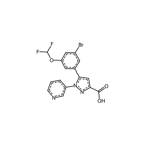 O=C(O)c1cc(-c2cc(Br)cc(OC(F)F)c2)n(-c2cccnc2)n1